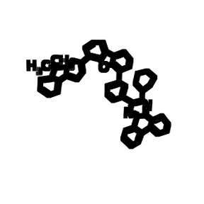 CC1(C)c2ccccc2-c2ccc(-c3cccc4c3oc3c(-c5cccc(-c6nc7c8ccccc8c8ccccc8c7nc6C6CCCCC6)c5)cccc34)cc21